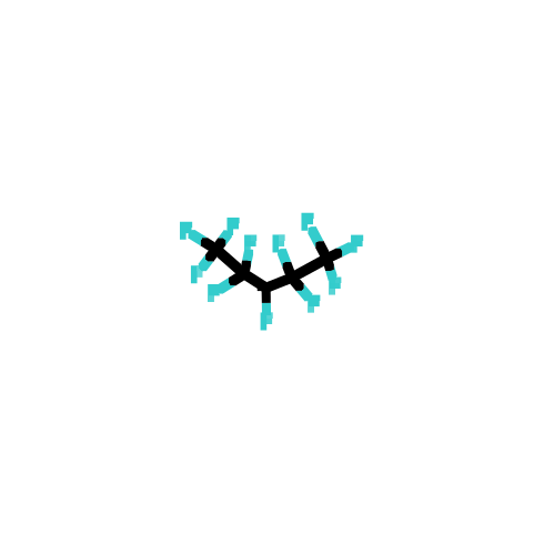 F[C](C(F)(F)C(F)(F)F)C(F)(F)C(F)(F)F